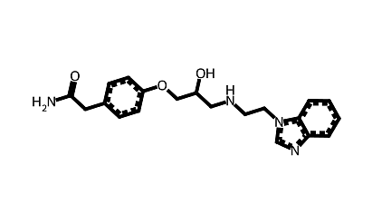 NC(=O)Cc1ccc(OCC(O)CNCCn2cnc3ccccc32)cc1